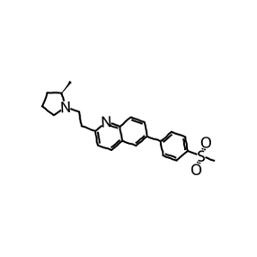 C[C@@H]1CCCN1CCc1ccc2cc(-c3ccc(S(C)(=O)=O)cc3)ccc2n1